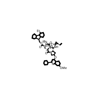 C=C[C@@H]1C[C@]1(NC(=O)[C@@H]1CC(Oc2cc(-c3ccccc3)nc3cc(OC)ccc23)CN1C(=O)[C@H](CNC(=O)OCC1c2ccccc2-c2c(CC)cccc21)NC(=O)OC(C)(C)C)C(=O)O